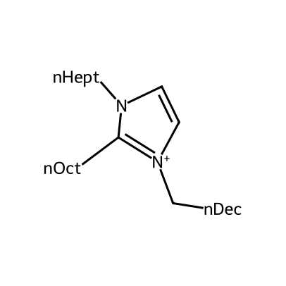 CCCCCCCCCCC[n+]1ccn(CCCCCCC)c1CCCCCCCC